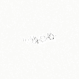 CC(C)(C)OC(=O)N1CCN(c2c[c]ccn2)CC1